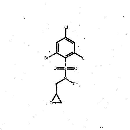 CN(C[C@H]1CO1)S(=O)(=O)c1c(Cl)cc(Cl)cc1Br